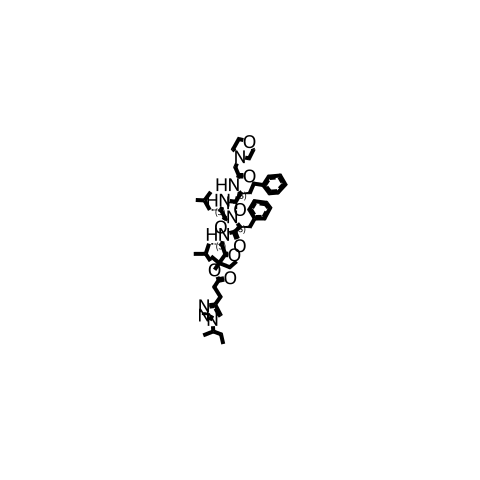 CCC(C)n1cc(CCC(=O)OC(C)(CC)C(=O)[C@H](CC(C)C)NC(=O)[C@H](Cc2ccccc2)NC(=O)[C@H](CC(C)C)NC(=O)[C@H](CCc2ccccc2)NC(=O)CN2CCOCC2)nn1